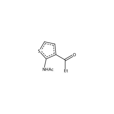 CCC(=O)c1ccsc1NC(C)=O